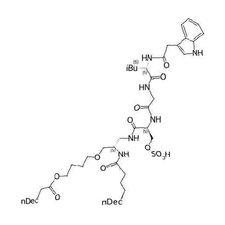 CCCCCCCCCCCCCC(=O)N[C@@H](CNC(=O)[C@H](COS(=O)(=O)O)NC(=O)CNC(=O)[C@@H](NC(=O)Cc1c[nH]c2ccccc12)[C@@H](C)CC)COCCCCOC(=O)CCCCCCCCCCC